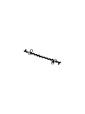 CC(C)CCOC(=O)CCCCCCC/C=C/CCCCCCCC(=O)OCCC(C)C